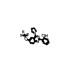 Oc1ccccc1-c1nc(N2CCCC2)c2cc(OC(F)(F)F)ccc2n1